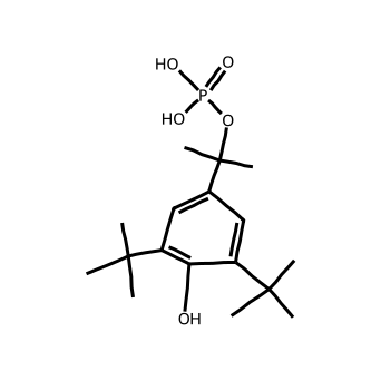 CC(C)(C)c1cc(C(C)(C)OP(=O)(O)O)cc(C(C)(C)C)c1O